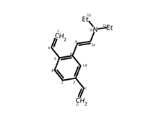 C=Cc1ccc(C=C)c(C=CN(CC)CC)c1